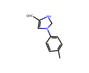 Cc1ccc(N2C=C(C=O)NC2)cc1